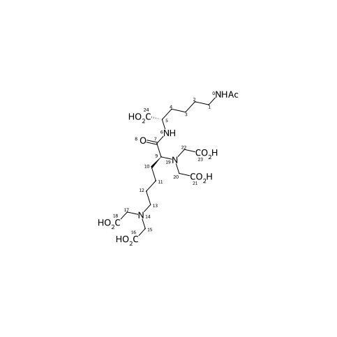 CC(=O)NCCCC[C@H](NC(=O)[C@H](CCCCN(CC(=O)O)CC(=O)O)N(CC(=O)O)CC(=O)O)C(=O)O